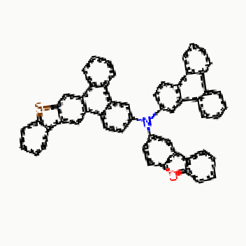 c1ccc2c(c1)oc1ccc(N(c3ccc4c5ccccc5c5ccccc5c4c3)c3ccc4c(c3)c3ccccc3c3cc5sc6ccccc6c5cc43)cc12